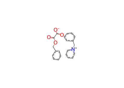 O=C([O-])C(=O)OCc1ccccc1.c1ccc(C[n+]2ccccc2)cc1